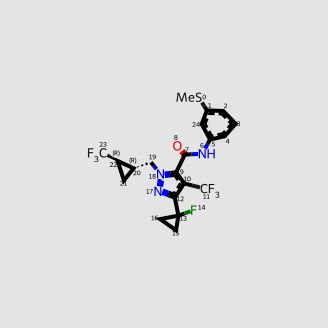 CSc1cccc(NC(=O)c2c(C(F)(F)F)c(C3(F)CC3)nn2C[C@@H]2C[C@H]2C(F)(F)F)c1